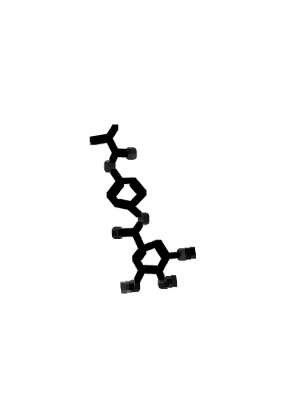 C=C(C)C(=O)Oc1ccc(OC(=O)c2cc(O)c(O)c(O)c2)cc1